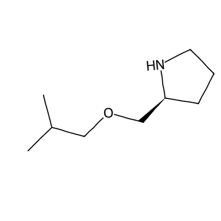 CC(C)COC[C@@H]1CCCN1